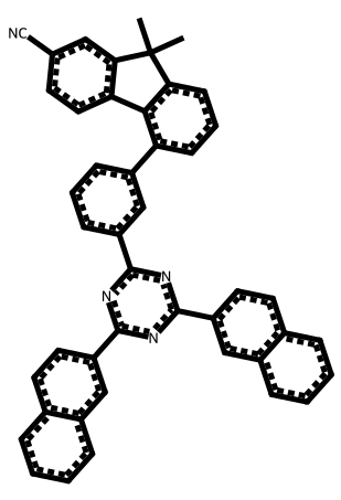 CC1(C)c2cc(C#N)ccc2-c2c(-c3cccc(-c4nc(-c5ccc6ccccc6c5)nc(-c5ccc6ccccc6c5)n4)c3)cccc21